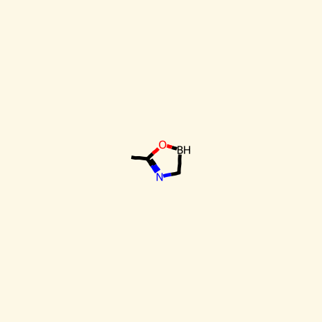 CC1=NCBO1